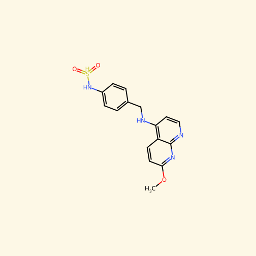 COc1ccc2c(NCc3ccc(N[SH](=O)=O)cc3)ccnc2n1